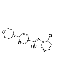 Clc1ccnc2[nH]c(-c3ccc(N4CCOCC4)nc3)cc12